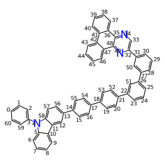 c1ccc(-n2c3ccccc3c3cc(-c4ccc(-c5ccc(-c6cccc(-c7cccc(-c8cnc9c%10ccccc%10c%10ccccc%10c9n8)c7)c6)cc5)cc4)ccc32)cc1